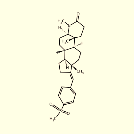 CN1C(=O)CC[C@]2(C)[C@H]3CC[C@]4(C)/C(=C/c5ccc(S(C)(=O)=O)cc5)CC[C@H]4[C@@H]3CC[C@@H]12